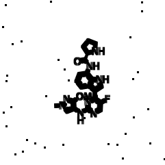 COc1nn(C)cc1Nc1ncc(F)c(-c2c[nH]c3c(NC(=O)[C@H]4CCCN4)cccc23)n1